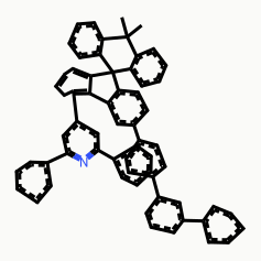 CC1(C)c2ccccc2C2(C3=CC=CCC(c4cc(-c5ccccc5)nc(-c5ccccc5)c4)=C3c3cc(-c4ccc(-c5cccc(-c6ccccc6)c5)cc4)ccc32)c2ccccc21